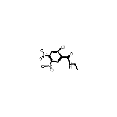 CCNC(=O)c1cc([N+](=O)[O-])c([N+](=O)[O-])cc1Cl